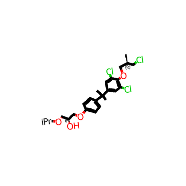 CC(C)OC[C@@H](O)COc1ccc(C(C)(C)c2cc(Cl)c(OC[C@@H](C)CCl)c(Cl)c2)cc1